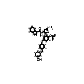 Cn1cc(NC(=O)c2cnn3cccnc23)c(-c2cc(Oc3ccc(CN4CCC[C@H](O)C4)cc3)ccc2OC(F)F)n1